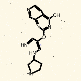 N=C/C(=C\NC1CCNC1)Oc1nc(O)c2ccncc2n1